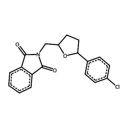 O=C1c2ccccc2C(=O)N1CC1CCC(c2ccc(Cl)cc2)O1